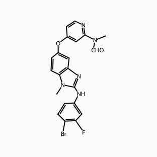 CN(C=O)c1cc(Oc2ccc3c(c2)nc(Nc2ccc(Br)c(F)c2)n3C)ccn1